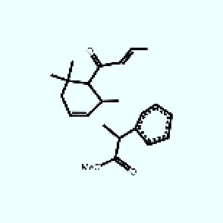 CC=CC(=O)C1C(C)C=CCC1(C)C.COC(=O)C(C)c1ccccc1